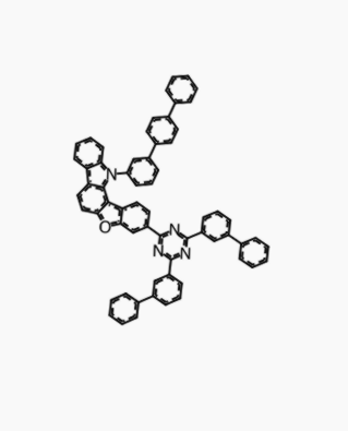 c1ccc(-c2ccc(-c3cccc(-n4c5ccccc5c5ccc6oc7cc(-c8nc(-c9cccc(-c%10ccccc%10)c9)nc(-c9cccc(-c%10ccccc%10)c9)n8)ccc7c6c54)c3)cc2)cc1